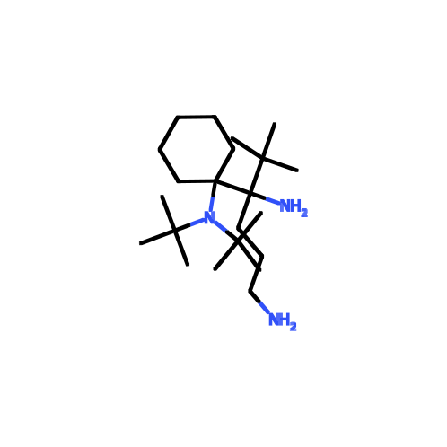 CC(C)(C)N(C(C)(C)C)C1(C(N)(CCCN)C(C)(C)C)CCCCC1